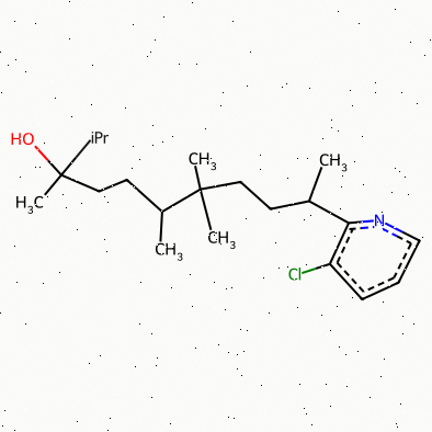 CC(CCC(C)(C)C(C)CCC(C)(O)C(C)C)c1ncccc1Cl